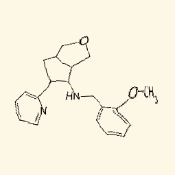 COc1ccccc1CNC1C(c2ccccn2)CC2COCC21